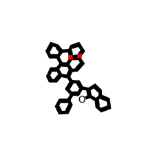 c1ccc(-c2ccccc2-c2c3ccccc3c(-c3cc(-c4ccccc4)c4oc5c6ccccc6ccc5c4c3)c3ccccc23)cc1